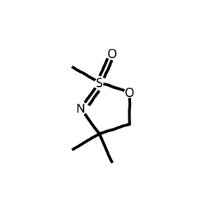 CC1(C)COS(C)(=O)=N1